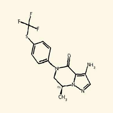 C[C@H]1CN(c2ccc(SC(F)(F)F)cc2)C(=O)c2c(N)cnn21